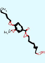 CCCCCOc1ccc(C(=O)OCCCCCCO)cc1OC